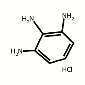 Cl.Nc1cccc(N)c1N